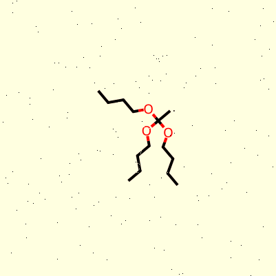 [CH2]C(OCCCC)(OCCCC)OCCCC